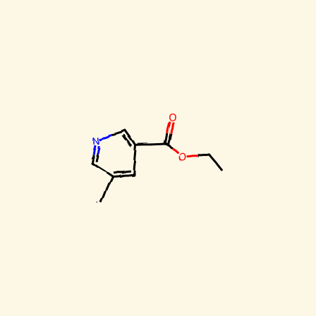 [CH2]c1cncc(C(=O)OCC)c1